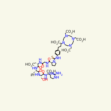 CC(C)C[C@H](NC(=O)[C@H](CC(=O)O)NC(=O)CNC(=O)[C@@H]1CCCN1C(=S)Nc1ccc(CCC(C(=O)O)N2CCN(CC(=O)O)CCN(CC(=O)O)CCN(CC(=O)O)CC2)cc1)C(=O)N[C@@H](CO)C(=O)N[C@@H](CCCNC(=N)N)C(=O)O